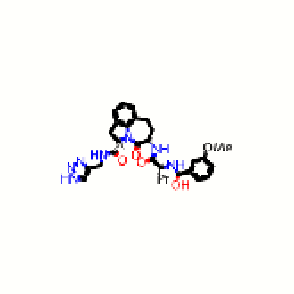 COc1cccc(C(O)N[C@H](C(=O)N[C@H]2CCc3cccc4c3N(C2=O)[C@H](C(=O)NCc2c[nH]nn2)C4)C(C)C)c1